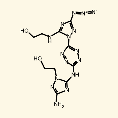 [N-]=[N+]=Nc1nc(NCCO)n(-c2nnc(Nc3nc(N)nn3CCO)nn2)n1